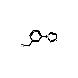 ClCc1cccc(-n2ccnc2)c1